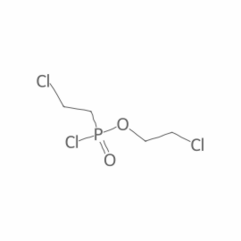 O=P(Cl)(CCCl)OCCCl